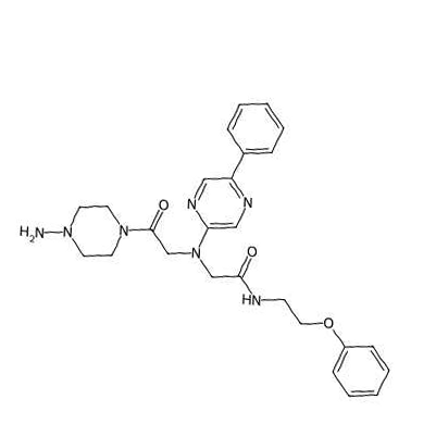 NN1CCN(C(=O)CN(CC(=O)NCCOc2ccccc2)c2cnc(-c3ccccc3)cn2)CC1